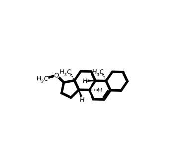 COC1CC[C@H]2[C@@H]3CC=C4CCCC[C@]4(C)[C@H]3CC[C@]12C